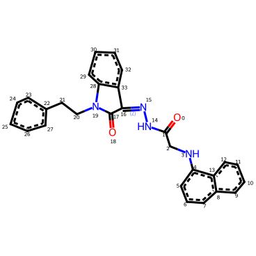 O=C(CNc1cccc2ccccc12)N/N=C1\C(=O)N(CCc2ccccc2)c2ccccc21